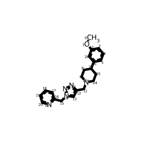 COc1cccc(C2CCN(Cc3cn(Cc4ccccn4)nn3)CC2)c1